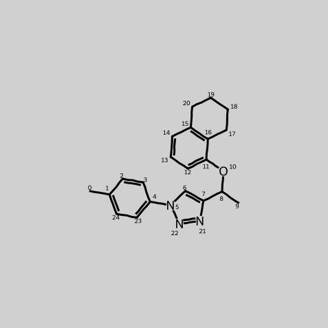 Cc1ccc(-n2cc(C(C)Oc3cccc4c3CCCC4)nn2)cc1